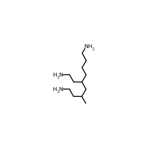 CC(CCN)CC(CCN)CCCCN